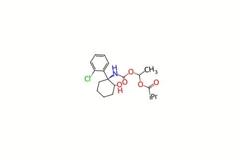 CC(OC(=O)N[C@]1(c2ccccc2Cl)CCCCC1O)OC(=O)C(C)C